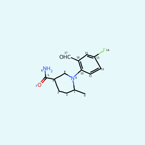 CC1CCC(C(N)=O)CN1c1ccc(F)cc1C=O